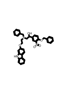 O=[N+]([O-])c1cc(C(O)CN(CCOc2ccc3c(c2)[nH]c2ccccc23)Cc2ccccc2)ccc1OCc1ccccc1